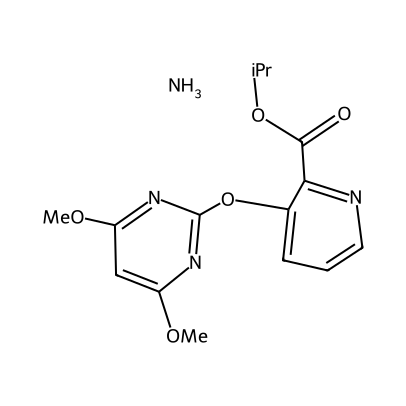 COc1cc(OC)nc(Oc2cccnc2C(=O)OC(C)C)n1.N